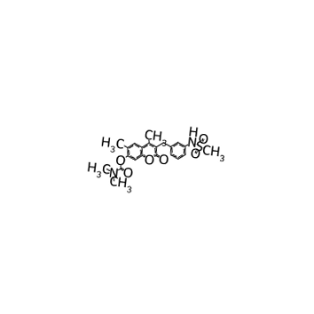 Cc1cc2c(C)c(Cc3cccc(NS(C)(=O)=O)c3)c(=O)oc2cc1OC(=O)N(C)C